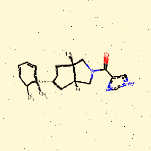 CC1([C@@H]2C[C@@H]3CN(C(=O)c4c[nH]cn4)C[C@@H]3C2)C=CC=CC1C(F)(F)F